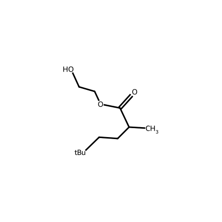 CC(CCC(C)(C)C)C(=O)OCCO